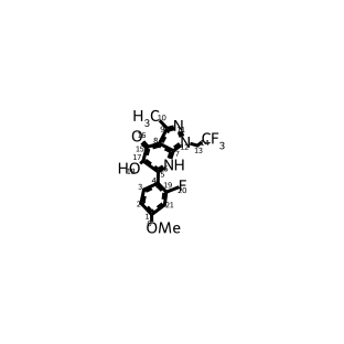 COc1ccc(-c2[nH]c3c(c(C)nn3CC(F)(F)F)c(=O)c2O)c(F)c1